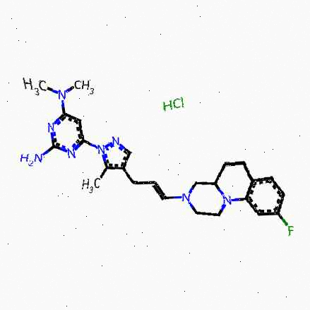 Cc1c(CC=CN2CCN3c4cc(F)ccc4CCC3C2)cnn1-c1cc(N(C)C)nc(N)n1.Cl